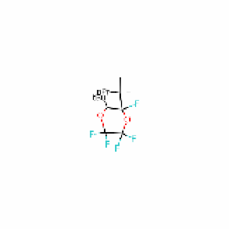 CCCC(C)(C)C1(F)OC(F)(F)C(F)(F)OC1C(C)(C)C